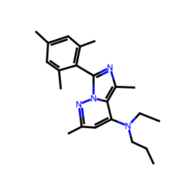 CCCN(CC)c1cc(C)nn2c(-c3c(C)cc(C)cc3C)nc(C)c12